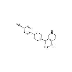 CNC1=C(NN2CCC(c3ccc(C#N)cc3)CC2)CNCC1